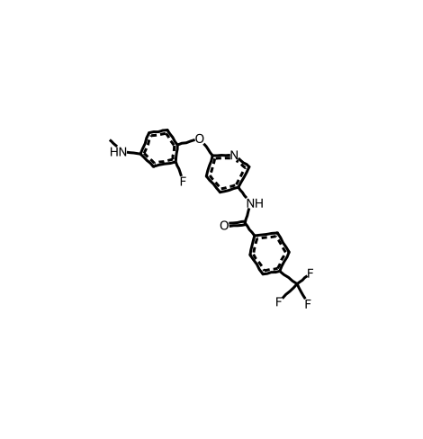 CNc1ccc(Oc2ccc(NC(=O)c3ccc(C(F)(F)F)cc3)cn2)c(F)c1